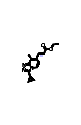 CCOC(=O)/C=C/c1ccn2c(C3CC3)nnc2c1C